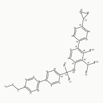 CCCc1ccc(-c2ccc(C(F)(F)Oc3ccc(-c4ccc(C5CO5)cc4)c(F)c3C(F)F)cc2)cc1